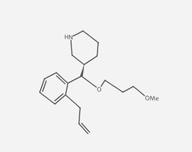 C=CCc1ccccc1C(OCCCOC)[C@@H]1CCCNC1